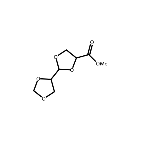 COC(=O)C1COC(C2COCO2)O1